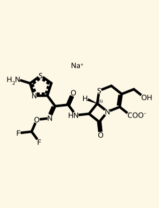 Nc1nc(C(=NOC(F)F)C(=O)NC2C(=O)N3C(C(=O)[O-])=C(CO)CS[C@@H]23)cs1.[Na+]